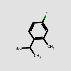 CCC(C)C(C)c1ccc(F)cc1C